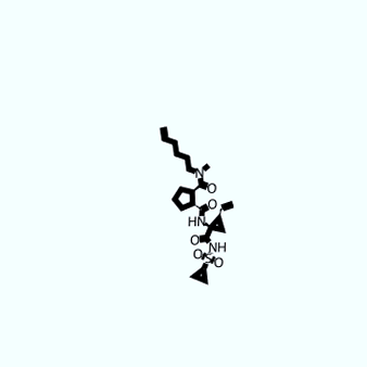 C=CCCCCN(C)C(=O)[C@@H]1CCC[C@H]1C(=O)N[C@]1(C(=O)NS(=O)(=O)C2CC2)C[C@H]1C=C